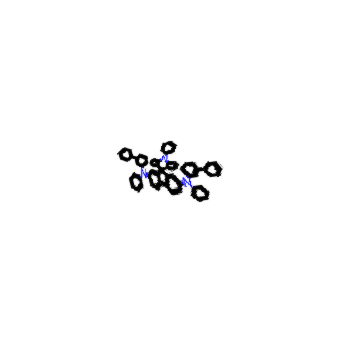 C1=CCCC(c2cccc(N(c3ccccc3)c3ccc4c(c3)C3(c5cc(N(c6ccccc6)c6cccc(-c7ccccc7)c6)ccc5-4)c4ccccc4N(c4ccccc4)c4ccccc43)c2)=C1